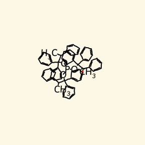 CC(c1ccccc1)C(OP(OC(c1ccccc1)(c1ccccc1)C(C)c1ccccc1)OC(c1ccccc1)(c1ccccc1)C(C)c1ccccc1)(c1ccccc1)c1ccccc1